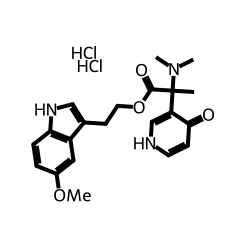 COc1ccc2[nH]cc(CCOC(=O)C(C)(c3c[nH]ccc3=O)N(C)C)c2c1.Cl.Cl